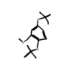 CSc1cc(OC(C)(C)C)ccc1OC(C)(C)C